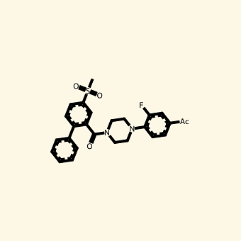 CC(=O)c1ccc(N2CCN(C(=O)c3cc(S(C)(=O)=O)ccc3-c3ccccc3)CC2)c(F)c1